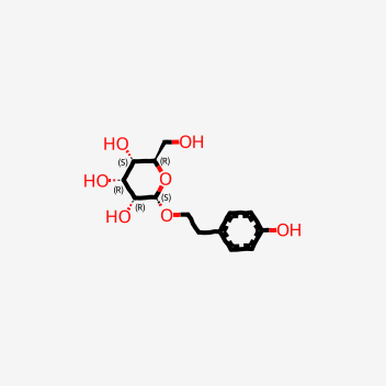 OC[C@H]1O[C@H](OCCc2ccc(O)cc2)[C@H](O)[C@H](O)[C@@H]1O